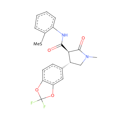 CSc1ccccc1NC(=O)[C@H]1C(=O)N(C)C[C@@H]1c1ccc2c(c1)OC(F)(F)O2